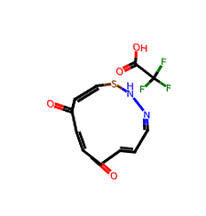 O=C(O)C(F)(F)F.O=C1/C=C\SN/N=C\C=C\C(=O)/C=C\1